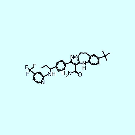 CCC(Nc1cc(C(F)(F)F)ccn1)c1ccc(-c2nn3c(c2C(N)=O)Nc2ccc(C(C)(C)C)cc2CC3)cc1